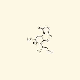 CCC(C)OC(=O)[C@@H](CC(C)C)N1C(=O)CCC1=O